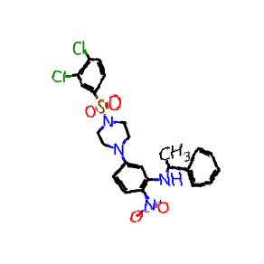 CC(Nc1cc(N2CCN(S(=O)(=O)c3ccc(Cl)c(Cl)c3)CC2)ccc1[N+](=O)[O-])c1ccccc1